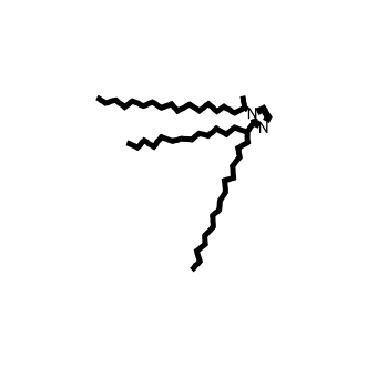 CCCCCCCCCCCCCCCCC(CCCCCCCCCCCCC)c1nccn1C(C)CCCCCCCCCCCCCCCC